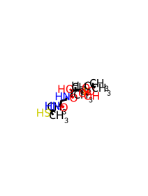 CC(C)(S)CNC(=O)CCNC(=O)C(O)C(C)(C)COP(=O)(O)OC(C)(C)C